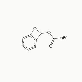 CCCC(=O)OC1Oc2ccccc21